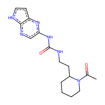 CC(=O)N1CCCCC1CCNC(=O)Nc1cnc2[nH]ccc2n1